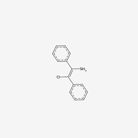 [SiH3]C(=C(Cl)c1ccccc1)c1ccccc1